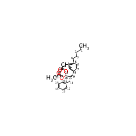 CCCCCc1ccc(C=C(Cc2ccccc2)C(OC(C)=O)OC(C)=O)cc1